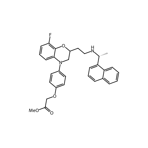 COC(=O)COc1ccc(N2CC(CCN[C@H](C)c3cccc4ccccc34)Oc3c(F)cccc32)cc1